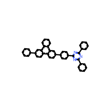 c1ccc(-c2ccc3c4ccc(-c5ccc(-c6nc(-c7ccccc7)nc(-c7ccccc7)n6)cc5)cc4c4ccccc4c3c2)cc1